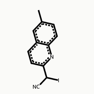 Cc1ccc2nc(C(I)C#N)ccc2c1